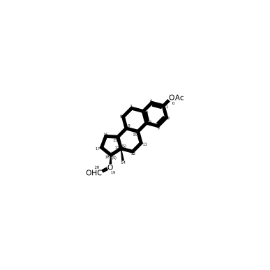 CC(=O)Oc1ccc2c(c1)CCC1C2CC[C@@]2(C)C1CC[C@@H]2OC=O